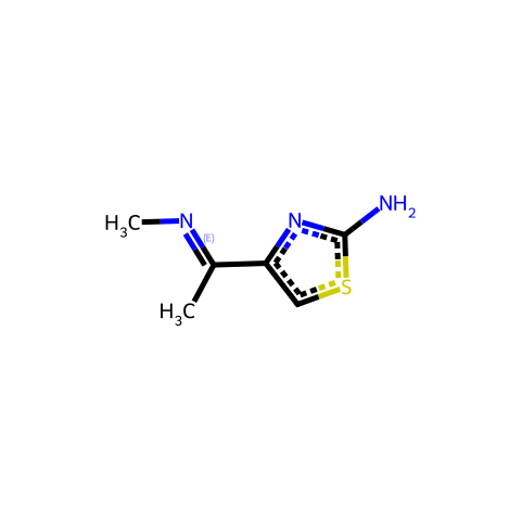 C/N=C(\C)c1csc(N)n1